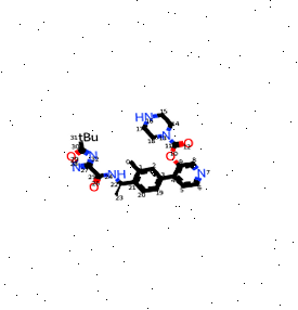 Cc1cc(-c2ccncc2OC(=O)N2CCNCC2)ccc1[C@@H](C)NC(=O)c1noc(C(C)(C)C)n1